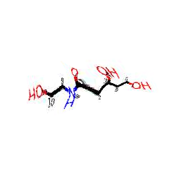 O=C(CC(O)CCO)NCCO